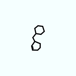 C1=C[C](CC2CCCCC2)CCC1